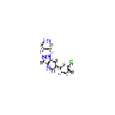 Cc1ccncc1Cn1ncc2ncc(-c3ccc(F)c(F)c3)cc21